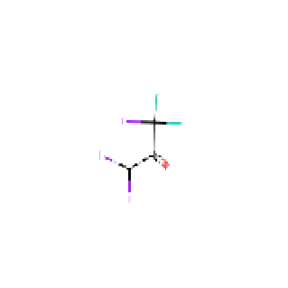 O=C(C(I)I)C(F)(F)I